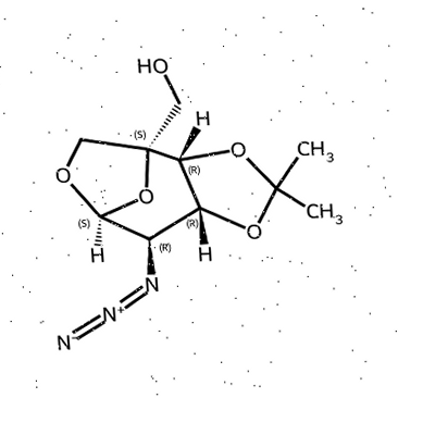 CC1(C)O[C@@H]2[C@@H](N=[N+]=[N-])[C@H]3OC[C@](CO)(O3)[C@@H]2O1